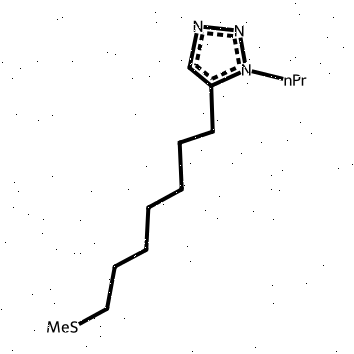 CCCn1nncc1CCCCCCCSC